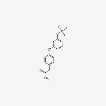 CC(=O)Cc1ccc(Oc2cccc(OC(F)(F)F)c2)cc1